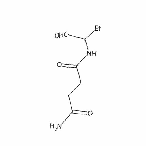 CCC(C=O)NC(=O)CCC(N)=O